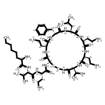 CCCCCCC(N)C(=O)N[C@H](C(=O)N[C@@H](CCN)C(=O)N[C@H]1CCNC(=O)[C@H](C(C)O)NC(=O)[C@H](CCN)NC(=O)[C@H](CCN)NC(=O)[C@H](CC(C)C)NC(=O)[C@@H](Cc2ccccc2)NC(=O)[C@H](CCN)NC1=O)C(C)O